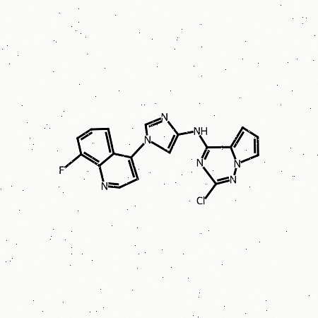 Fc1cccc2c(-n3cnc(Nc4nc(Cl)nn5cccc45)c3)ccnc12